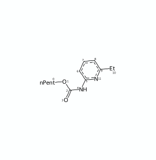 CCCCCOC(=O)Nc1cccc(CC)n1